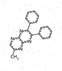 Cc1cnc2nc(-c3ccccc3)c(-c3ccccc3)nc2n1